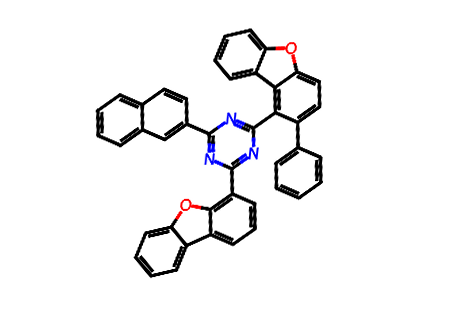 c1ccc(-c2ccc3oc4ccccc4c3c2-c2nc(-c3ccc4ccccc4c3)nc(-c3cccc4c3oc3ccccc34)n2)cc1